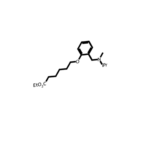 CCOC(=O)CCCCCOc1ccccc1CN(C)C(C)C